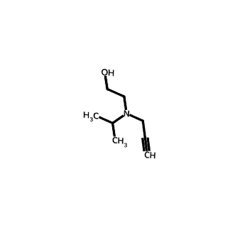 C#CCN(CCO)C(C)C